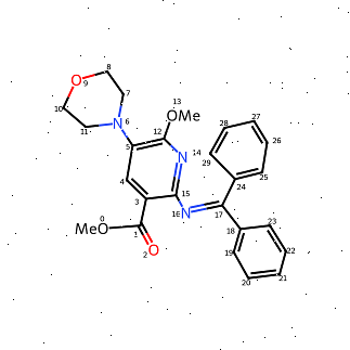 COC(=O)c1cc(N2CCOCC2)c(OC)nc1N=C(c1ccccc1)c1ccccc1